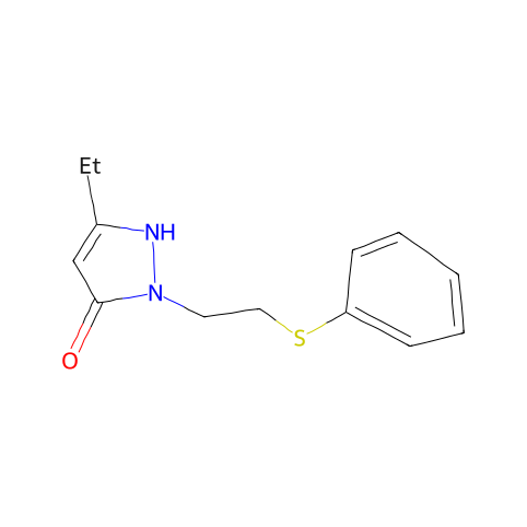 CCc1cc(=O)n(CCSc2ccccc2)[nH]1